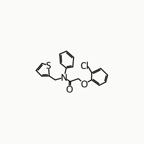 O=C(COc1ccccc1Cl)N(Cc1cccs1)c1ccccc1